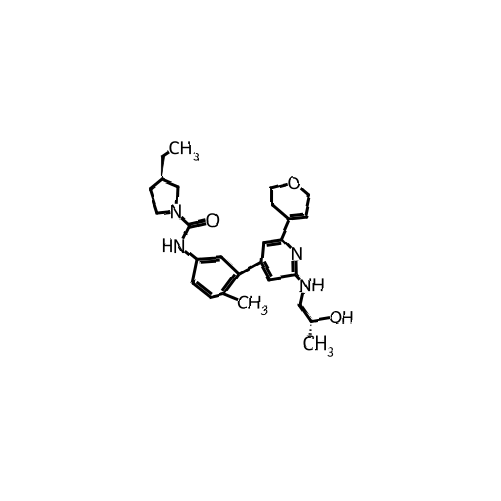 CC[C@@H]1CCN(C(=O)Nc2ccc(C)c(-c3cc(NC[C@@H](C)O)nc(C4=CCOCC4)c3)c2)C1